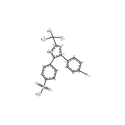 CS(=O)(=O)c1ccc(-c2[nH]c(C(O)(C(F)(F)F)C(F)(F)F)nc2-c2ccc(F)cc2)cc1